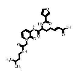 CC(C)CCNC(=O)Cn1cccc(NC(=O)C(CC/C=C/C(=O)O)NC(=O)c2ccoc2)c1=O